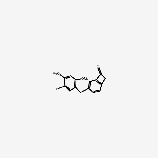 COc1cc(OC)c(Cc2ccc3c(c2)C(=O)C3)cc1Br